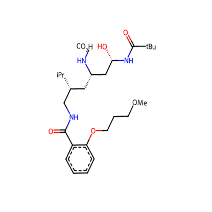 COCCCOc1ccccc1C(=O)NC[C@@H](C[C@@H](C[C@H](O)NC(=O)C(C)(C)C)NC(=O)O)C(C)C